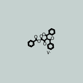 O=C(OC(=O)c1ccccc1)C(=O)C(C(=O)c1ccccc1)C(=O)c1ccccc1.[V]